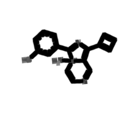 N[N+]12C=CN=CC1=C(C1=CC=C1)N=C2c1cccc(O)c1